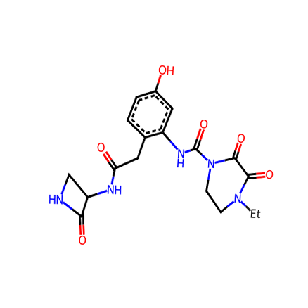 CCN1CCN(C(=O)Nc2cc(O)ccc2CC(=O)NC2CNC2=O)C(=O)C1=O